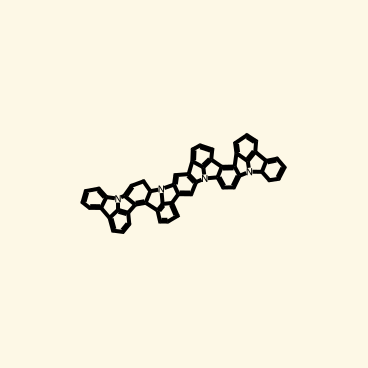 C1=CCC2C(=C1)c1cccc3c4c5c6cccc7c8cc9c(cc8n(c5ccc4n2c13)c76)c1cccc2c1n9C1CC=c3c(c4cccc5c6ccccc6n3c45)=C21